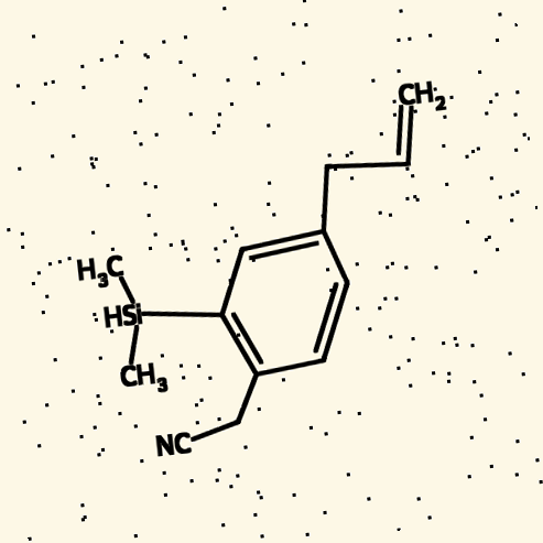 C=CCc1ccc(CC#N)c([SiH](C)C)c1